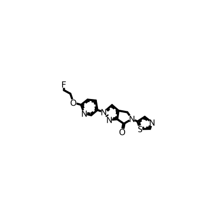 O=C1c2nn(-c3ccc(OCCF)nc3)cc2CN1c1cncs1